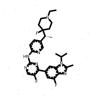 CCN1CCC(F)([C@H](C)c2ccc(Nc3ncc(F)c(-c4cc(F)c5nc(C)n(C(C)C)c5c4)n3)nc2)CC1